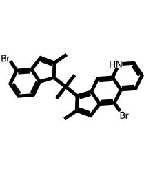 CC1=Cc2c(Br)cccc2C1C(C)(C)c1c(C)cc2c(Br)c3ccc[nH]c3cc12